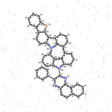 c1ccc(-c2nc3ccc4ccccc4c3nc2-n2c3cccc4c5cccc6c7c8sc9ccccc9c8ccc7n(c7cccc2c7c43)c56)cc1